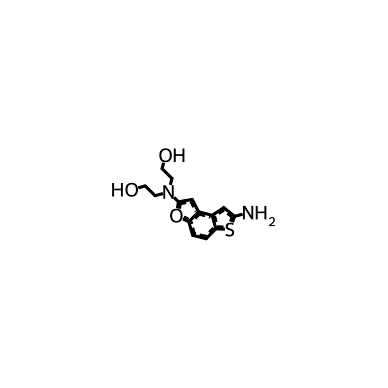 Nc1cc2c(ccc3oc(N(CCO)CCO)cc32)s1